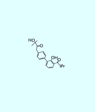 CC(C)C(=O)c1cccc(-c2ccc(CC(=O)C(C)(C)O)cc2)c1O